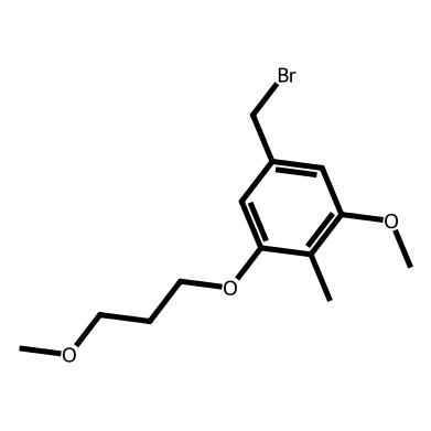 COCCCOc1cc(CBr)cc(OC)c1C